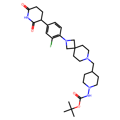 CC(C)(C)OC(=O)NN1CCC(CN2CCC3(CC2)CN(c2ccc(C4CCC(=O)NC4=O)cc2F)C3)CC1